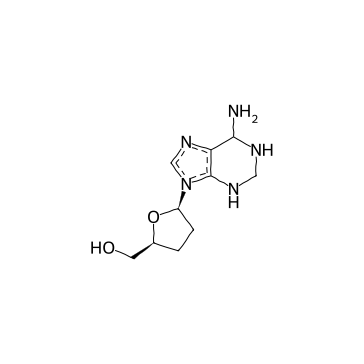 NC1NCNc2c1ncn2[C@H]1CC[C@@H](CO)O1